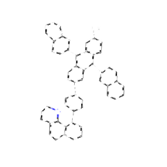 CC(C)(C)c1ccc2c(-c3ccc4ccccc4c3)c3cc(-c4ccc(-c5cccc6ccc7cccnc7c56)cc4)ccc3c(-c3ccc4ccccc4c3)c2c1